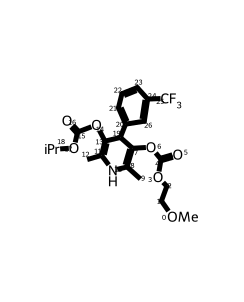 COCCOC(=O)OC1=C(C)NC(C)=C(OC(=O)OC(C)C)C1c1cccc(C(F)(F)F)c1